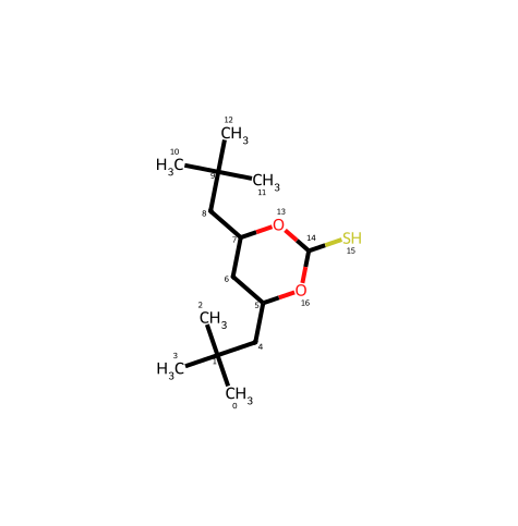 CC(C)(C)CC1CC(CC(C)(C)C)OC(S)O1